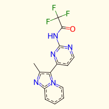 Cc1nc2ccccn2c1-c1ccnc(NC(=O)C(F)(F)F)n1